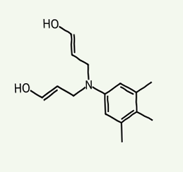 Cc1cc(N(CC=CO)CC=CO)cc(C)c1C